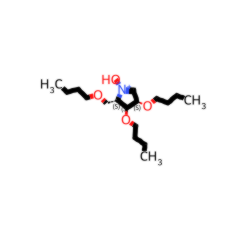 CCCCOC[C@H]1[C@H](OCCCC)[C@@H](OCCCC)C=[N+]1O